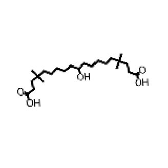 CC(C)(CCCCCC(O)CCCCCC(C)(C)CCC(=O)O)CCC(=O)O